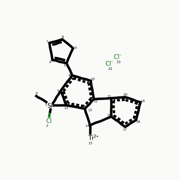 C[Si]1(Cl)c2c(C3=CC=CC3)cc3c(c21)[CH]([Ti+2])c1ccccc1-3.[Cl-].[Cl-]